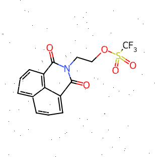 O=C1c2cccc3cccc(c23)C(=O)N1CCOS(=O)(=O)C(F)(F)F